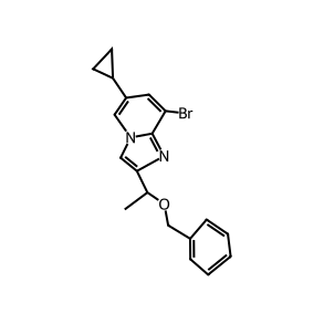 CC(OCc1ccccc1)c1cn2cc(C3CC3)cc(Br)c2n1